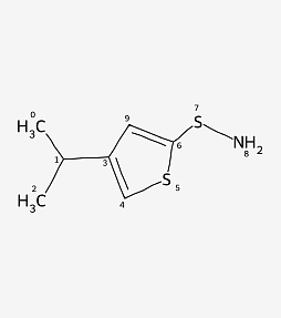 CC(C)c1csc(SN)c1